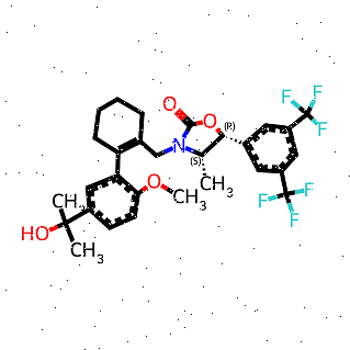 COc1ccc(C(C)(C)O)cc1C1=C(CN2C(=O)O[C@H](c3cc(C(F)(F)F)cc(C(F)(F)F)c3)[C@@H]2C)CCCC1